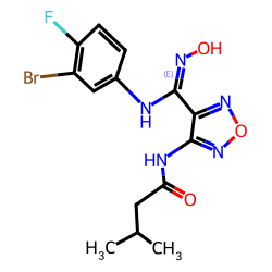 CC(C)CC(=O)Nc1nonc1/C(=N\O)Nc1ccc(F)c(Br)c1